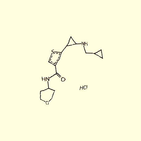 Cl.O=C(NC1CCOCC1)c1csc(C2CC2NCC2CC2)c1